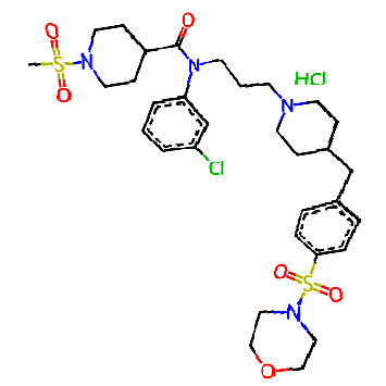 CS(=O)(=O)N1CCC(C(=O)N(CCCN2CCC(Cc3ccc(S(=O)(=O)N4CCOCC4)cc3)CC2)c2cccc(Cl)c2)CC1.Cl